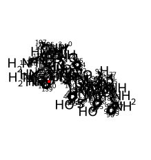 CC[C@@H](C)[C@@H](NC(=O)CNC(=O)[C@@H](C)NC(=O)[C@H](NC(=O)[C@@H](Cc1ccc(O)cc1)NC(=O)[C@@H](C)NC(=O)[C@@H](Cc1ccc(O)cc1)NC(=O)[C@@H](CCSC)NC(=O)[C@@H](Cc1ccc(O)cc1)NC(=O)[C@H](NC(=O)[C@@H](CC(C)C)NC(=O)[C@H](N)Cc1c[nH]c2ccccc12)[C@H](C)CC)C(C)C)C(=O)N[C@H](CC(C)C)C(=O)N[C@H](CCCCN)C(=O)N[C@H](CCCNC(=N)N)C(=O)N[C@H](Cc1c[nH]c2ccccc12)C(=O)O